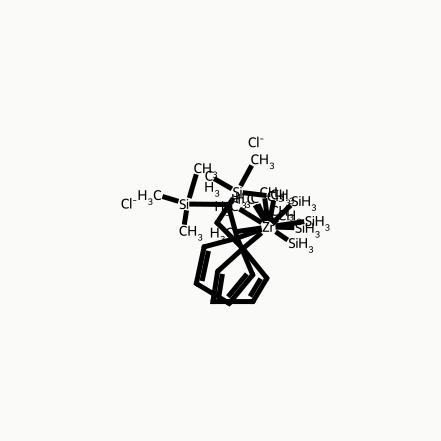 C[Si](C)(C)C[C]1([Zr]([CH3])([CH3])([CH3])([CH3])([CH3])([CH3])([CH3])([CH3])([SiH3])([SiH3])([SiH3])([SiH3])[C]2(C[Si](C)(C)C)C=CC=C2)C=CC=C1.[Cl-].[Cl-]